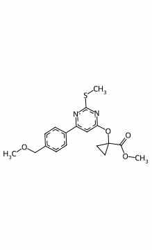 COCc1ccc(-c2cc(OC3(C(=O)OC)CC3)nc(SC)n2)cc1